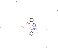 COCCOCc1ccccc1-c1csc(NC(=O)c2ccc(C)cc2)n1